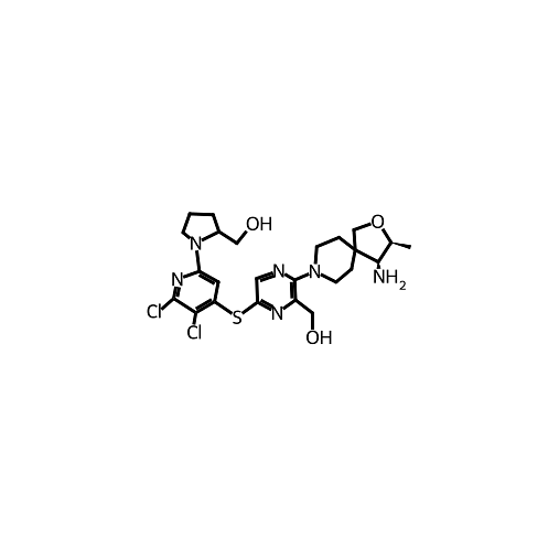 C[C@@H]1OCC2(CCN(c3ncc(Sc4cc(N5CCCC5CO)nc(Cl)c4Cl)nc3CO)CC2)[C@@H]1N